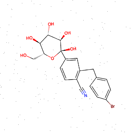 N#Cc1ccc([C@]2(O)O[C@H](CO)[C@@H](O)[C@H](O)[C@H]2O)cc1Cc1ccc(Br)cc1